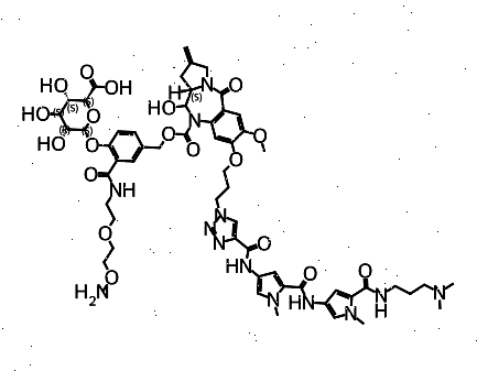 C=C1C[C@H]2C(O)N(C(=O)OCc3ccc(O[C@@H]4O[C@H](C(=O)O)[C@@H](O)[C@H](O)[C@H]4O)c(C(=O)NCCOCCON)c3)c3cc(OCCCn4cc(C(=O)Nc5cc(C(=O)Nc6cc(C(=O)NCCCN(C)C)n(C)c6)n(C)c5)nn4)c(OC)cc3C(=O)N2C1